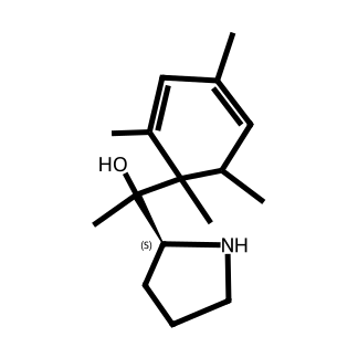 CC1=CC(C)C(C)(C(C)(O)[C@@H]2CCCN2)C(C)=C1